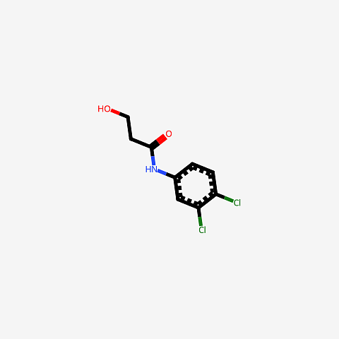 O=C(CCO)Nc1ccc(Cl)c(Cl)c1